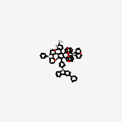 Cc1ccc(-c2c(-c3cccc4c3c3ccccc3n4-c3ccccc3)c(C#N)c(-c3ccc(-n4c5ccccc5c5cc(-c6ccccc6)ccc54)cc3)c(-c3cccc4c3c3ccccc3n4-c3ccccc3)c2-c2cccc3c2c2ccccc2n3-c2ccccc2)c(C)n1